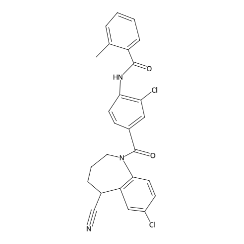 Cc1ccccc1C(=O)Nc1ccc(C(=O)N2CCCC(C#N)c3cc(Cl)ccc32)cc1Cl